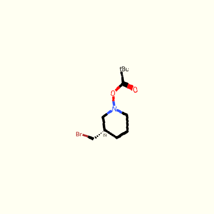 CC(C)(C)C(=O)ON1CCC[C@H](CBr)C1